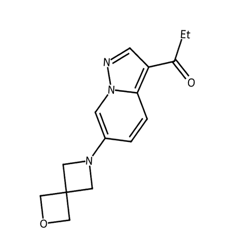 CCC(=O)c1cnn2cc(N3CC4(COC4)C3)ccc12